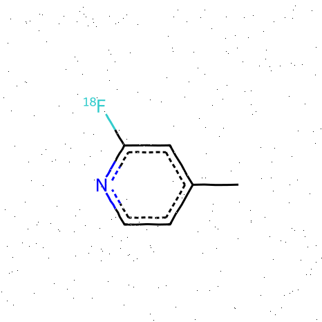 Cc1ccnc([18F])c1